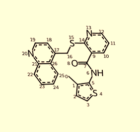 Cc1ccsc1NC(=O)c1cccnc1SCc1ccnc2ccccc12